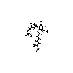 CC[C@H](C)CC(F)(F)C(O)CC[C@@H]1[C@@H](CCCCCCC(=O)OC)[C@@H](O)C[C@H]1C